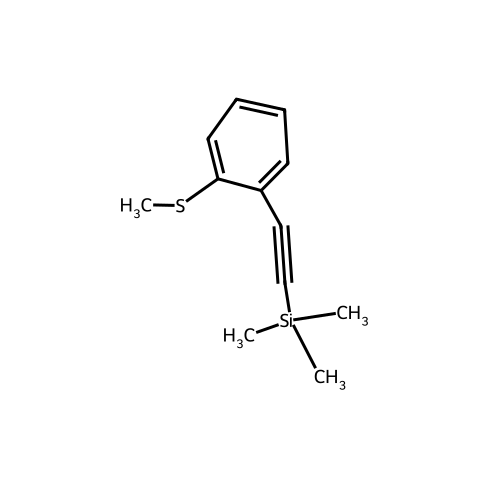 CSc1ccccc1C#C[Si](C)(C)C